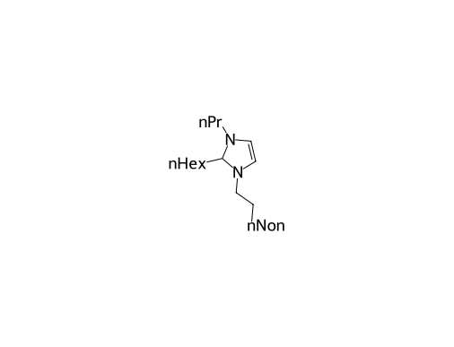 CCCCCCCCCCCN1C=CN(CCC)C1CCCCCC